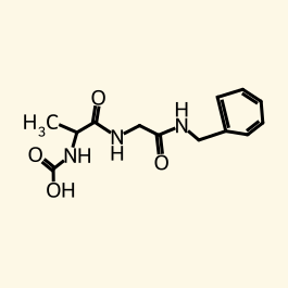 CC(NC(=O)O)C(=O)NCC(=O)NCc1ccccc1